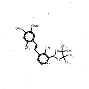 COc1cc(/C=C/c2ccnc(B3OC(C)(C)C(C)(C)O3)c2C#N)c(C(F)(F)F)cc1C=O